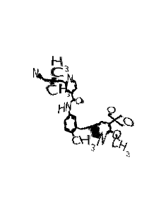 COc1ncc(-c2cc(NC(=O)c3ccnc(C(C)(C)C#N)c3)ccc2C)cc1C1(C=O)COC1